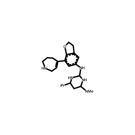 CNC1CC(C(C)C)NC(Nc2cc3c(c(C4=CCNCCC4)c2)OCC3)N1